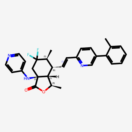 Cc1ccccc1-c1ccc(/C=C/[C@@H]2[C@@H]3[C@@H](C)OC(=O)[C@]3(Nc3ccncc3)CC(F)(F)[C@H]2C)nc1